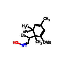 CCCC1(C)[C]=C(C)C=C(OC)C1(C)C(/C=N\O)CC